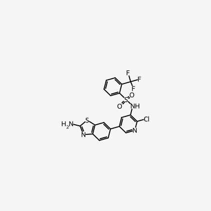 Nc1nc2ccc(-c3cnc(Cl)c(NS(=O)(=O)c4ccccc4C(F)(F)F)c3)cc2s1